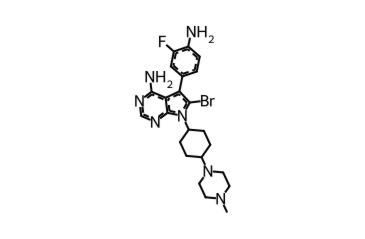 CN1CCN(C2CCC(n3c(Br)c(-c4ccc(N)c(F)c4)c4c(N)ncnc43)CC2)CC1